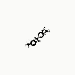 CN1CC2(CCN(c3nc4cc(C(F)(F)F)ccc4[nH]3)CC2)OC1=O